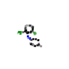 CC1C=CC(=Nc2c(F)cccc2Cl)CC1